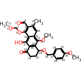 COCOc1c(C=O)c(C)cc2c(OC)c3c(c(O)c12)C(=O)CCC3OCc1ccc(OC)cc1